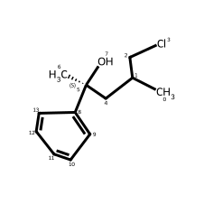 CC(CCl)C[C@](C)(O)c1ccccc1